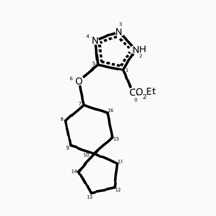 CCOC(=O)c1[nH]nnc1OC1CCC2(CCCC2)CC1